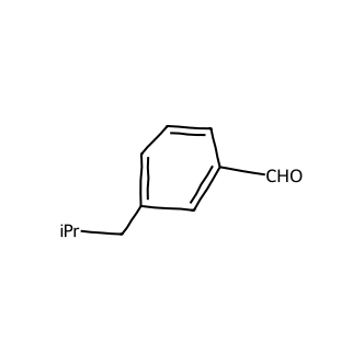 CC(C)Cc1cccc(C=O)c1